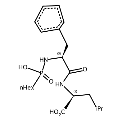 CCCCCCP(=O)(O)N[C@@H](Cc1ccccc1)C(=O)N[C@@H](CC(C)C)C(=O)O